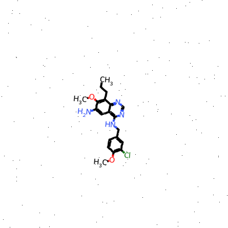 CCCc1c(OC)c(N)cc2c(NCc3ccc(OC)c(Cl)c3)ncnc12